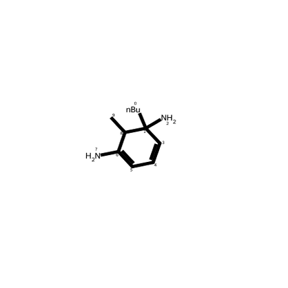 CCCCC1(N)C=CC=C(N)C1C